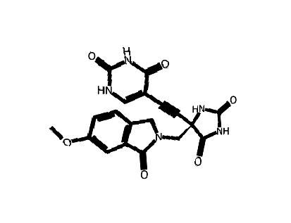 COc1ccc2c(c1)C(=O)N(C[C@@]1(C#Cc3c[nH]c(=O)[nH]c3=O)NC(=O)NC1=O)C2